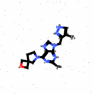 CC(C)(C)c1nc(N2CCC3(COC3)C2)c2ncn(Cc3n[nH]cc3C(F)(F)F)c2n1